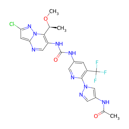 CO[C@@H](C)c1c(NC(=O)Nc2cnc(-n3cc(NC(C)=O)cn3)c(C(F)(F)F)c2)cnc2cc(Cl)nn12